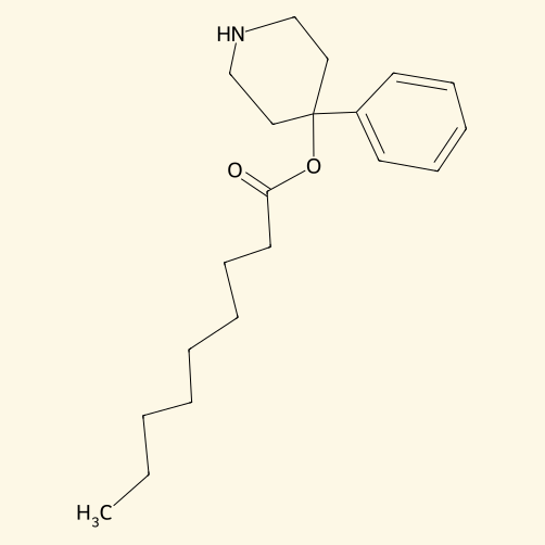 CCCCCCCCC(=O)OC1(c2ccccc2)CCNCC1